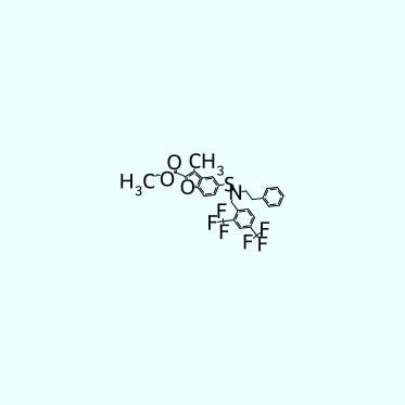 CCOC(=O)c1oc2ccc(SN(CCc3ccccc3)Cc3ccc(C(F)(F)F)cc3C(F)(F)F)cc2c1C